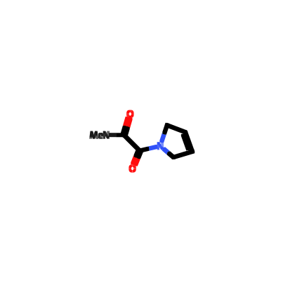 CNC(=O)C(=O)N1CC=CC1